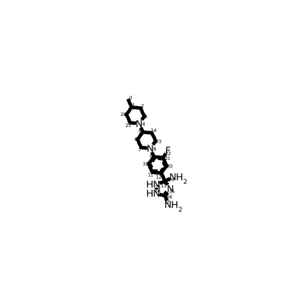 CC1CCN(C2CCN(c3ccc(C4(N)N=C(N)NN4)cc3F)CC2)CC1